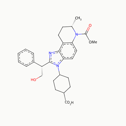 COC(=O)N1c2ccc3c(nc([C@H](CO)c4ccccc4)n3C3CCC(C(=O)O)CC3)c2CC[C@@H]1C